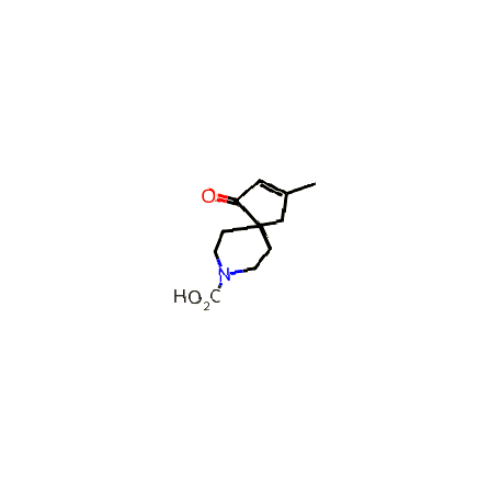 CC1=CC(=O)C2(CCN(C(=O)O)CC2)C1